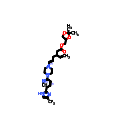 C=CC(C/C=C/N1CCN(C(/C=C\Cc2nc(C(F)(F)F)c[nH]2)=N/C)CC1)CC(=O)OCC1COC(C)(C)O1